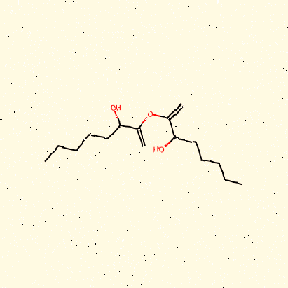 C=C(OC(=C)C(O)CCCCC)C(O)CCCCC